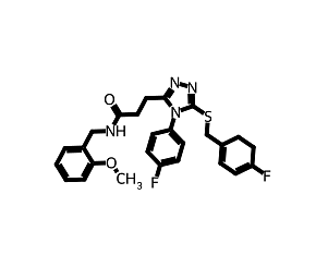 COc1ccccc1CNC(=O)CCc1nnc(SCC2=CC=C(F)CC2)n1-c1ccc(F)cc1